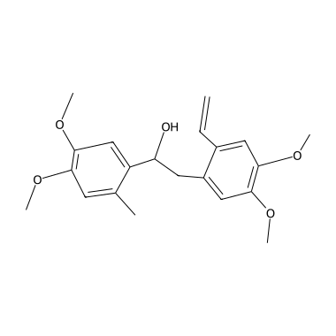 C=Cc1cc(OC)c(OC)cc1CC(O)c1cc(OC)c(OC)cc1C